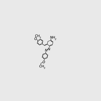 CCOc1ccc(N=NC2=CC=C(N)CC2=Cc2ccc(OC)cc2)cc1